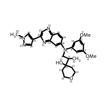 COc1cc(OC)cc(N(CC(C)C2(O)CCOCC2)c2ccc3ncc(-c4cnn(C)c4)nc3c2)c1